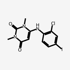 Cn1c(Nc2ccc(I)cc2Cl)cc(=O)n(C)c1=O